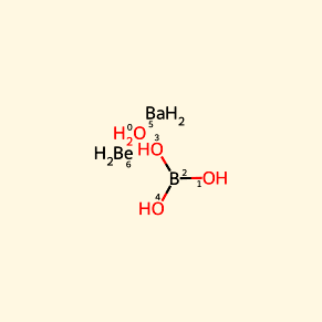 O.OB(O)O.[BaH2].[BeH2]